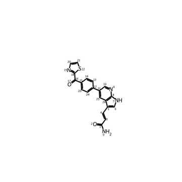 NC(=O)C=Cc1c[nH]c2ncc(-c3ccc(C(=O)c4nccs4)cc3)cc12